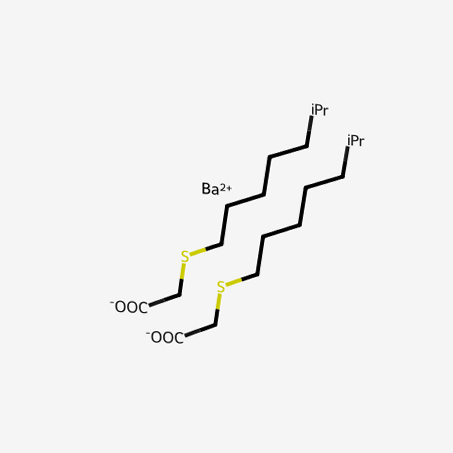 CC(C)CCCCCSCC(=O)[O-].CC(C)CCCCCSCC(=O)[O-].[Ba+2]